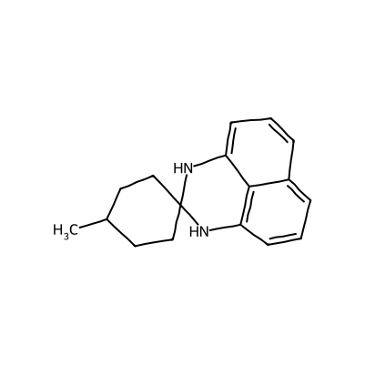 CC1CCC2(CC1)Nc1cccc3cccc(c13)N2